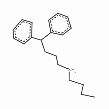 CCCC[SiH2]CCCC(c1ccccc1)c1ccccc1